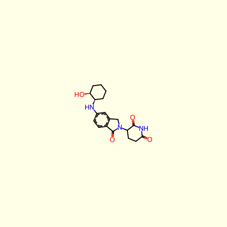 O=C1CCC(N2Cc3cc(N[C@@H]4CCCC[C@@H]4O)ccc3C2=O)C(=O)N1